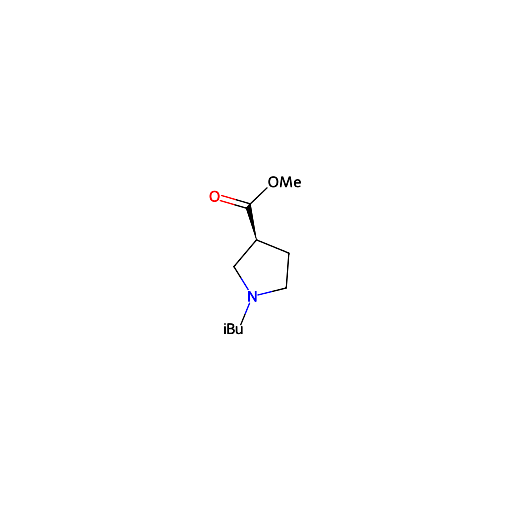 CCC(C)N1CC[C@H](C(=O)OC)C1